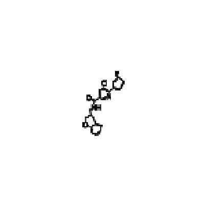 O=C(NCC1COc2ccccc2C1)c1cnc(-c2cccc(F)c2)c(Cl)c1